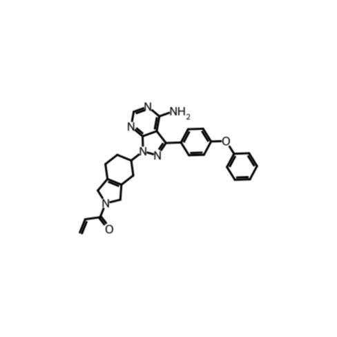 C=CC(=O)N1CC2=C(CC(n3nc(-c4ccc(Oc5ccccc5)cc4)c4c(N)ncnc43)CC2)C1